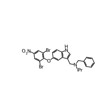 CC(C)N(Cc1ccccc1)Cc1c[nH]c2ccc(Oc3c(Br)cc([N+](=O)[O-])cc3Br)cc12